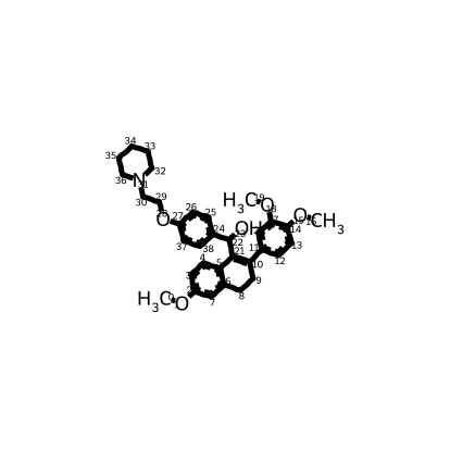 COc1ccc2c(c1)CCC(c1ccc(OC)c(OC)c1)=C2C(O)c1ccc(OCCN2CCCCC2)cc1